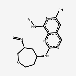 C=N[C@@H]1COCC[C@H](Nc2ncc3cc(C#N)nc(NC(C)C)c3n2)C1